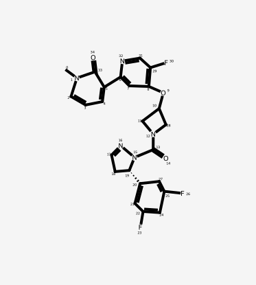 Cn1cccc(-c2cc(OC3CN(C(=O)N4N=CC[C@H]4c4cc(F)cc(F)c4)C3)c(F)cn2)c1=O